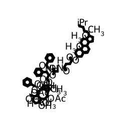 CC(=O)O[C@H]1C(=O)[C@@]2(C)[C@H]([C@H](OC(=O)c3ccccc3)[C@]3(O)C[C@H](OC(=O)[C@H](OC(=O)CNC(=O)CCC(=O)O[C@H]4CC[C@@]5(C)C(=CCC6C7CCC(C(C)CCCC(C)C)[C@@]7(C)CCC65)C4)[C@@H](NC(=O)c4ccccc4)c4ccccc4)C(C)=C1C3(C)C)[C@]1(OC(C)=O)CO[C@@H]1C[C@@H]2O